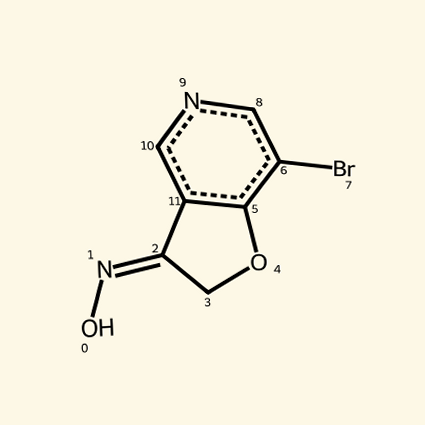 ON=C1COc2c(Br)cncc21